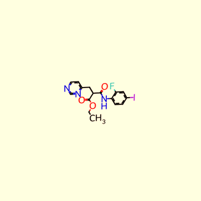 CCOC(=O)C(Cc1ccncn1)C(=O)Nc1ccc(I)cc1F